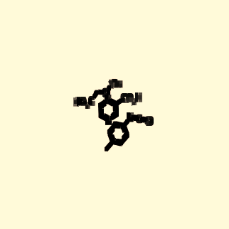 CC(C)(C)OCC(=O)O.Cc1ccc(N=C=O)cc1.O=C(O)c1cnccn1